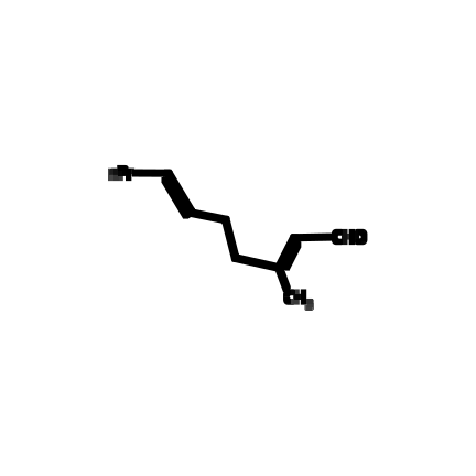 CCCC=CCCC(C)=CC=O